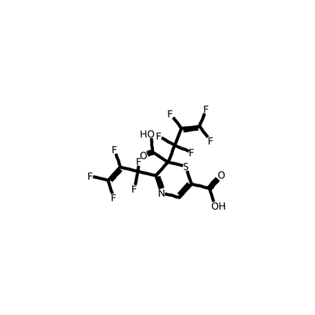 O=C(O)C1=CN=C(C(F)(F)C(F)=C(F)F)C(C(=O)O)(C(F)(F)C(F)=C(F)F)S1